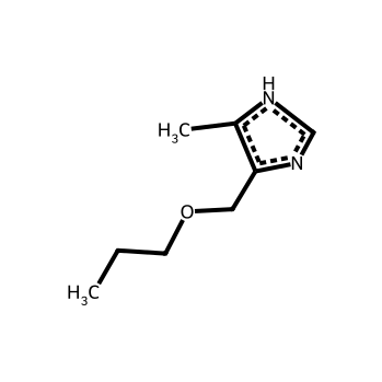 CCCOCc1nc[nH]c1C